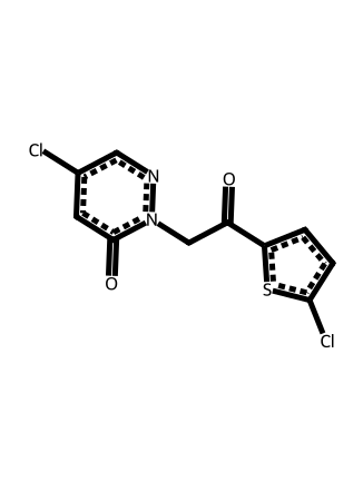 O=C(Cn1ncc(Cl)cc1=O)c1ccc(Cl)s1